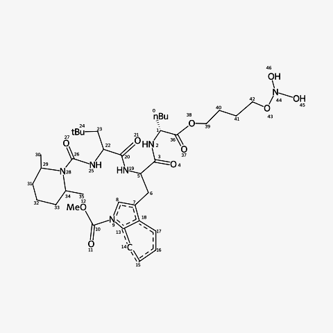 CCCC[C@@H](NC(=O)C(Cc1cn(C(=O)OC)c2ccccc12)NC(=O)C(CC(C)(C)C)NC(=O)N1C(C)CCCC1C)C(=O)OCCCCON(O)O